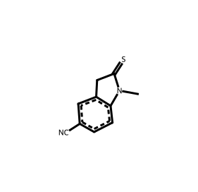 CN1C(=S)Cc2cc(C#N)ccc21